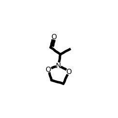 CC(C=O)N1OCCO1